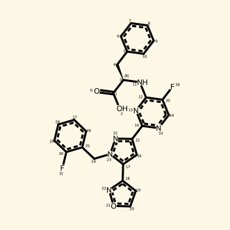 O=C(O)[C@@H](Cc1ccccc1)Nc1nc(-c2cc(-c3ccon3)n(Cc3ccccc3F)n2)ncc1F